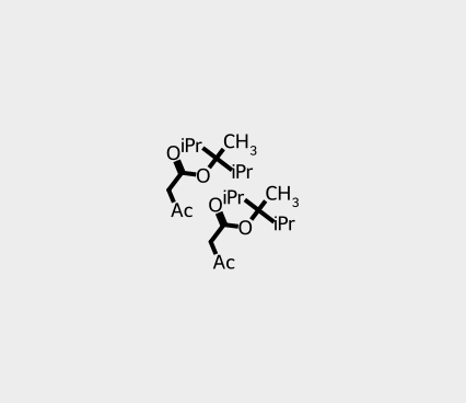 CC(=O)CC(=O)OC(C)(C(C)C)C(C)C.CC(=O)CC(=O)OC(C)(C(C)C)C(C)C